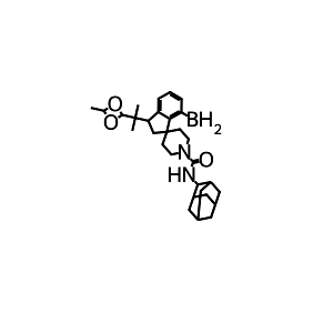 Bc1cccc2c1C1(CCN(C(=O)NC3C4CC5CC(C4)CC3C5)CC1)CC2C(C)(C)C1OC(C)O1